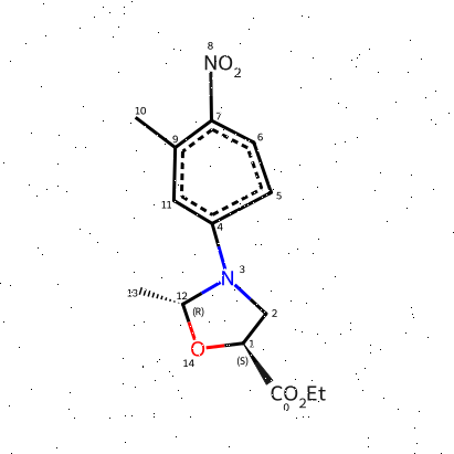 CCOC(=O)[C@@H]1CN(c2ccc([N+](=O)[O-])c(C)c2)[C@@H](C)O1